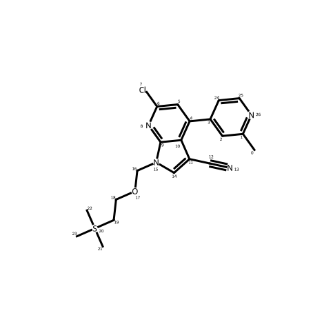 Cc1cc(-c2cc(Cl)nc3c2c(C#N)cn3COCCS(C)(C)C)ccn1